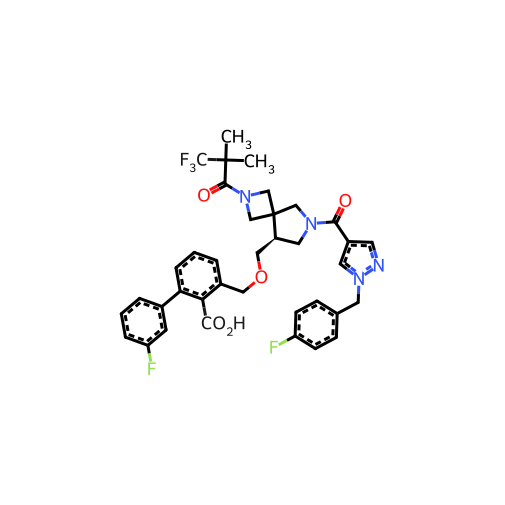 CC(C)(C(=O)N1CC2(CN(C(=O)c3cnn(Cc4ccc(F)cc4)c3)C[C@H]2COCc2cccc(-c3cccc(F)c3)c2C(=O)O)C1)C(F)(F)F